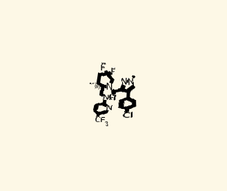 C[C@@H]1CC(F)(F)CN(C(=O)c2nn(C)cc2-c2ccc(Cl)cc2)C1CNc1ccc(C(F)(F)F)cn1